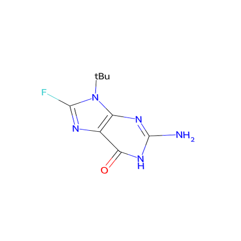 CC(C)(C)n1c(F)nc2c(=O)[nH]c(N)nc21